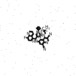 CC(C)(C)CNc1c(C#N)cnc2c(C#N)cc(N[C@H](c3cn(C45CC(C4)C5)nn3)c3ccc(F)c4ncccc34)cc12